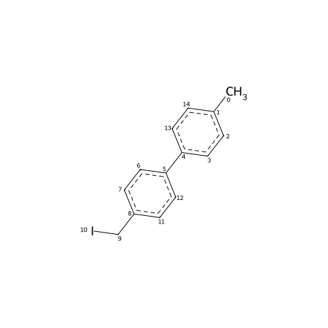 Cc1ccc(-c2ccc(CI)cc2)cc1